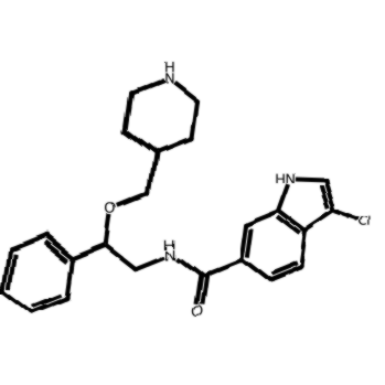 O=C(NCC(OCC1CCNCC1)c1ccccc1)c1ccc2c(Cl)c[nH]c2c1